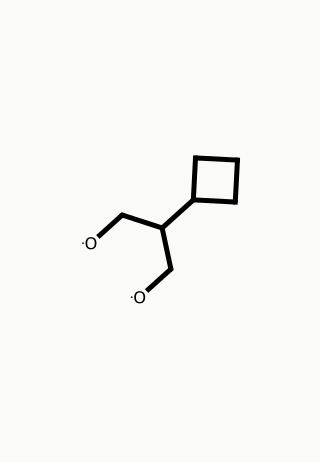 [O]CC(C[O])C1CCC1